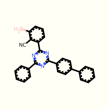 Bc1cccc(-c2nc(-c3ccccc3)nc(-c3ccc(-c4ccccc4)cc3)n2)c1C#N